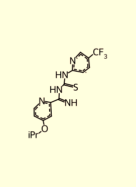 CC(C)Oc1ccnc(C(=N)NC(=S)Nc2[c]cc(C(F)(F)F)cn2)c1